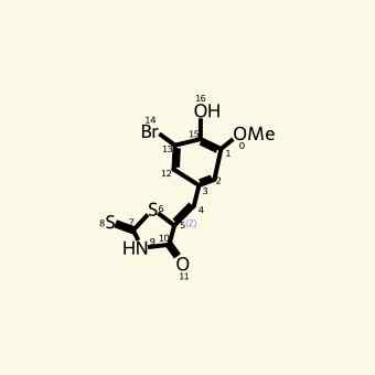 COc1cc(/C=C2\SC(=S)NC2=O)cc(Br)c1O